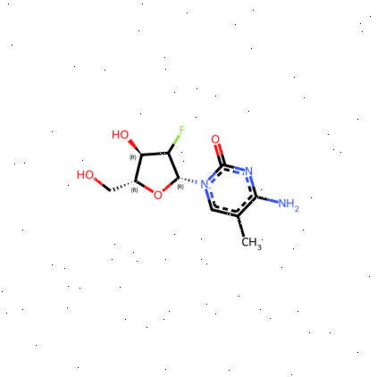 Cc1cn([C@@H]2O[C@H](CO)[C@@H](O)C2F)c(=O)nc1N